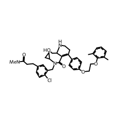 CNC(=O)CCc1ccc(Cl)c(CN(C(=O)C2=C(c3ccc(OCCOc4c(C)cccc4C)cc3)CCNC2CO)C2CC2)c1